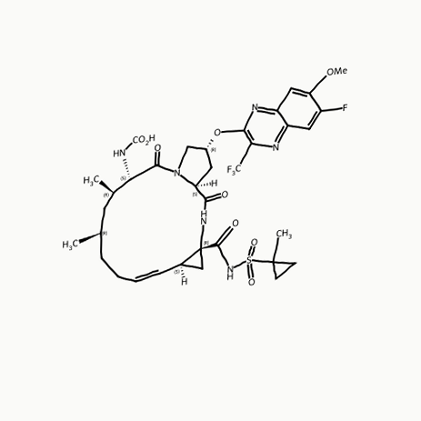 COc1cc2nc(O[C@@H]3C[C@H]4C(=O)N[C@]5(C(=O)NS(=O)(=O)C6(C)CC6)C[C@H]5C=CCC[C@@H](C)C[C@@H](C)[C@H](NC(=O)O)C(=O)N4C3)c(C(F)(F)F)nc2cc1F